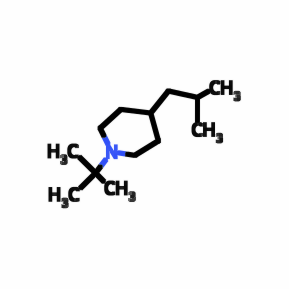 CC(C)CC1CCN(C(C)(C)C)CC1